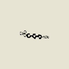 CCCC[C@H]1CC[C@H]([C@H]2CC[C@H]([C@H]3CC[C@H](OC(=O)CC)CC3)CC2)CC1